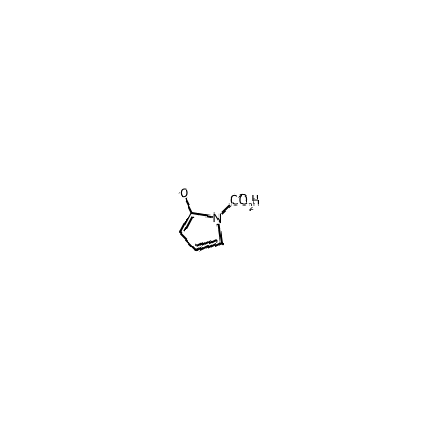 [O]c1cccn1C(=O)O